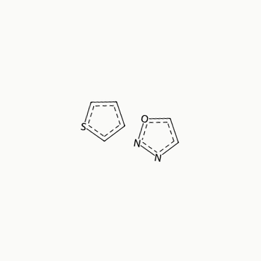 c1ccsc1.c1conn1